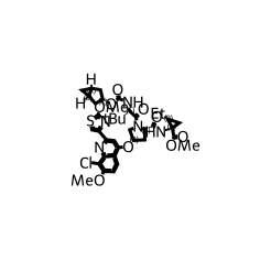 CC[C@@H]1C[C@]1(NC(=O)[C@@H]1C[C@@H](Oc2cc(-c3csc(OC)n3)nc3c(Cl)c(OC)ccc23)CN1C(=O)[C@@H](NC(=O)O[C@@H]1C[C@@H]2C[C@@H]2C1)C(C)(C)C)C(=O)OC